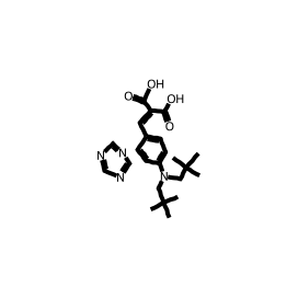 CC(C)(C)CN(CC(C)(C)C)c1ccc(C=C(C(=O)O)C(=O)O)cc1.c1ncncn1